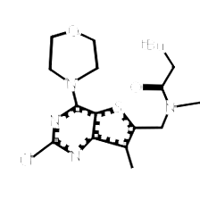 Cc1c(CN(C)C(=O)CC(C)(C)C)sc2c(N3CCOCC3)nc(Cl)nc12